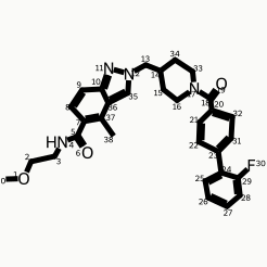 COCCNC(=O)c1ccc2nn(CC3CCN(C(=O)c4ccc(-c5ccccc5F)cc4)CC3)cc2c1C